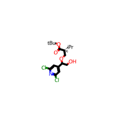 CC(C)[C@H](COC(CO)c1cc(Cl)nc(Cl)c1)C(=O)OC(C)(C)C